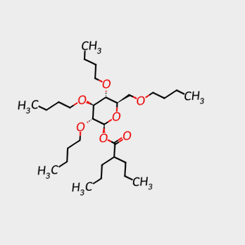 CCCCOC[C@H]1O[C@@H](OC(=O)C(CCC)CCC)[C@H](OCCCC)[C@@H](OCCCC)[C@@H]1OCCCC